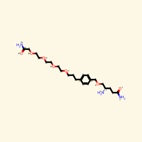 NC(=O)CC[C@H](N)COCc1ccc(CCCOCCOCCOCCOCC(N)=O)cc1